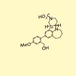 COc1ccc(-c2cc3c4c(c2)[C@@H]2CN(C(=O)O)CC[C@@H]2N4CCCC3)c(CO)c1